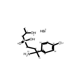 Br.CC(O)CP(=O)(O)CCC(C)(N)c1ccc(Cl)cc1